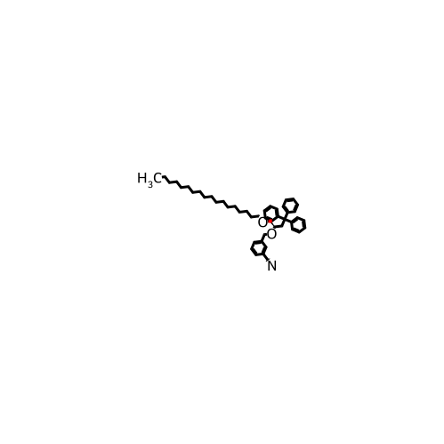 CCCCCCCCCCCCCCCCCCOC[C@@H](CC(c1ccccc1)(c1ccccc1)c1ccccc1)OCc1cccc(C#N)c1